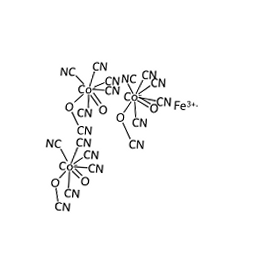 N#C[O][Co-](=[O])([C]#N)([C]#N)([C]#N)([C]#N)[C]#N.N#C[O][Co-](=[O])([C]#N)([C]#N)([C]#N)([C]#N)[C]#N.N#C[O][Co-](=[O])([C]#N)([C]#N)([C]#N)([C]#N)[C]#N.[Fe+3]